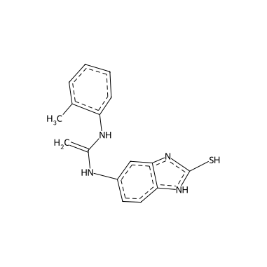 C=C(Nc1ccc2[nH]c(S)nc2c1)Nc1ccccc1C